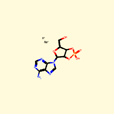 Nc1ncnc2c1ncn2C1OC(CO)C2OP(=O)(O)OC21.[H-].[Na+]